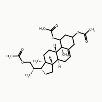 CC(=O)OC[C@@H](C)[C@H]1CC[C@H]2[C@@H]3CC=C4CC(OC(C)=O)CC(OC(C)=O)[C@]4(C)[C@H]3CC[C@]12C